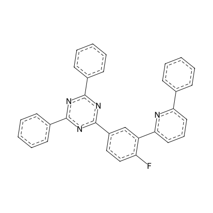 Fc1ccc(-c2nc(-c3ccccc3)nc(-c3ccccc3)n2)cc1-c1cccc(-c2ccccc2)n1